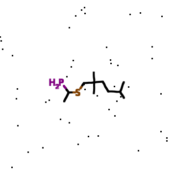 CC(C)CCC(C)(C)CSC(C)P